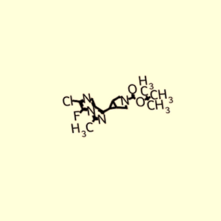 Cc1nc(C2C3CN(C(=O)OC(C)(C)C)CC32)c2cnc(Cl)c(F)n12